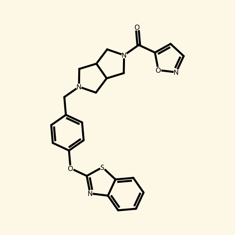 O=C(c1ccno1)N1CC2CN(Cc3ccc(Oc4nc5ccccc5s4)cc3)CC2C1